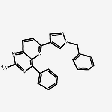 Nc1nc(-c2ccccc2)c2nc(-c3cnn(Cc4ccccc4)c3)ccc2n1